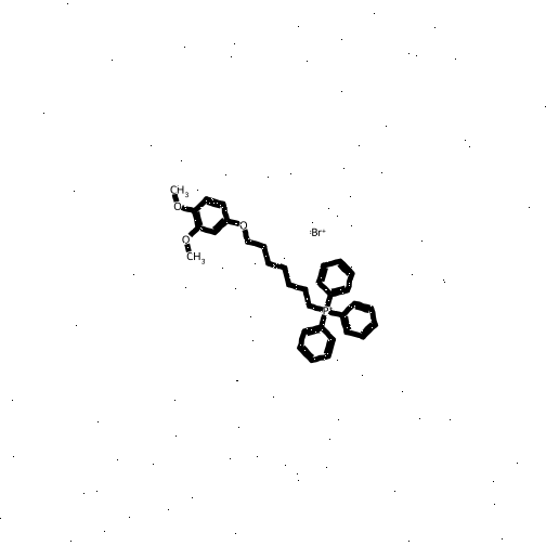 COc1ccc(OCCCCCCC[P+](c2ccccc2)(c2ccccc2)c2ccccc2)cc1OC.[Br+]